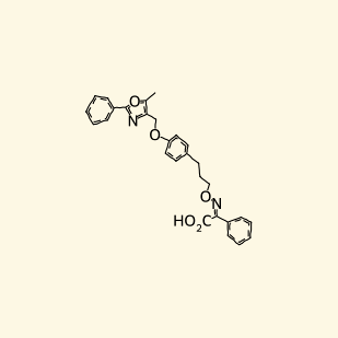 Cc1oc(-c2ccccc2)nc1COc1ccc(CCCO/N=C(\C(=O)O)c2ccccc2)cc1